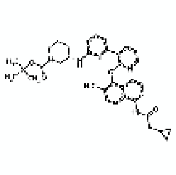 Cc1ccc2c(NC(=O)CC3CC3)cccc2c1Oc1ncccc1-c1ccnc(N[C@H]2CCCN(C(=O)OC(C)(C)C)C2)n1